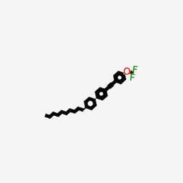 CCCCCCCCCC[C@H]1CC[C@H](c2ccc(C#Cc3ccc(OC(F)F)cc3)cc2)CC1